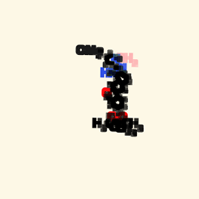 BN1C[C@@H](COC)C[C@H]1c1nc2ccc3cc4c(cc3c2[nH]1)OCc1cc(B2OC(C)(C)C(C)(C)O2)ccc1-4